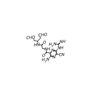 N#Cc1nc(N)c(C(=O)NCC(=O)NC(CC=O)CC=O)nc1NC(=N)N